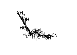 C=CCCOCC(O)COCCC(O)COCCOC(C)(F)CCOC(C)(N)C(C)(CF)COC(C)(C)CCOCC(O)COCCC#N